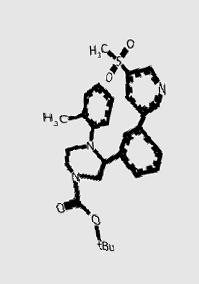 Cc1ccccc1N1CCN(C(=O)OC(C)(C)C)CC1c1cccc(-c2cncc(S(C)(=O)=O)c2)c1